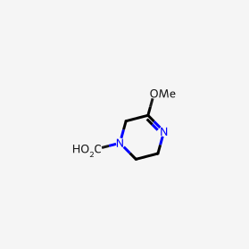 COC1=NCCN(C(=O)O)C1